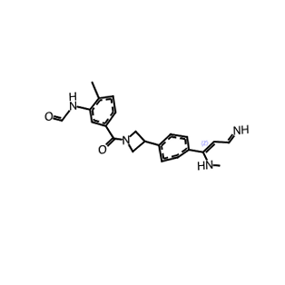 CN/C(=C\C=N)c1ccc(C2CN(C(=O)c3ccc(C)c(NC=O)c3)C2)cc1